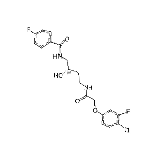 O=C(COc1ccc(Cl)c(F)c1)NCC[C@H](O)CNC(=O)c1ccc(F)cc1